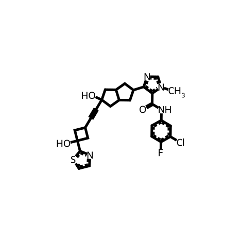 Cn1cnc(C2CC3CC(O)(C#CC4CC(O)(c5nccs5)C4)CC3C2)c1C(=O)Nc1ccc(F)c(Cl)c1